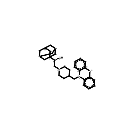 O[C@@H](CN1CCC(CN2c3ccccc3Sc3ccccc32)CC1)C12CC3CC(CC(C3)C1)C2